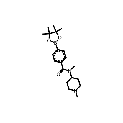 CN1CCC(N(C)C(=O)c2ccc(B3OC(C)(C)C(C)(C)O3)cc2)CC1